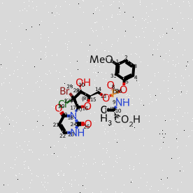 COc1cccc(O[P@](=O)(N[C@@H](C)C(=O)O)OC[C@H]2O[C@@H](n3c(=O)cc[nH]c3=O)[C@](Cl)(Br)[C@@H]2O)c1